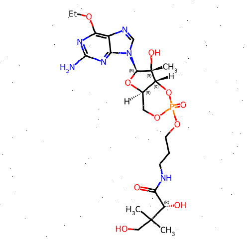 CCOc1nc(N)nc2c1ncn2[C@@H]1O[C@@H]2COP(=O)(OCCCNC(=O)[C@H](O)C(C)(C)CO)O[C@H]2[C@@]1(C)O